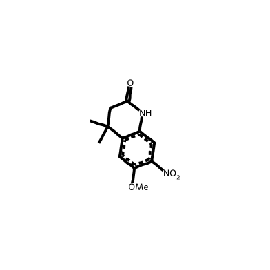 COc1cc2c(cc1[N+](=O)[O-])NC(=O)CC2(C)C